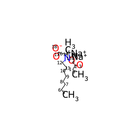 CCC(=O)[O-].CCCCCCCCN=C(C)C(=O)[O-].[Na+].[Na+]